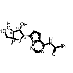 CC(C)C(=O)Nc1ncnn2c([C@@H]3O[C@](C)(CO)[C@@H](O)[C@H]3O)ccc12